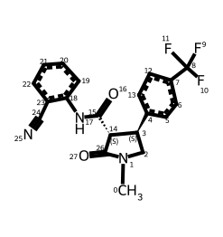 CN1C[C@H](c2ccc(C(F)(F)F)cc2)[C@@H](C(=O)Nc2ccccc2C#N)C1=O